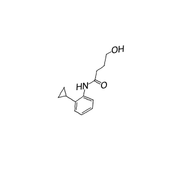 O=C(CCCO)Nc1ccccc1C1CC1